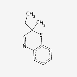 CCC1(C)C=Nc2ccccc2S1